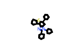 c1ccc(-c2cc3c(nc(-c4ccccc4)n3-c3ccccc3)c3c2sc2ccccc23)cc1